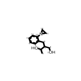 CC(O)C(CO)Cc1ccccc1N1CC1